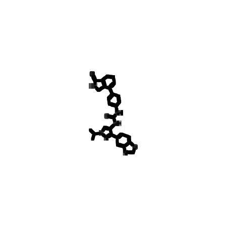 CC(C)n1cc(NC(=O)Nc2ccc(-c3cccc4c3CNC4=O)cc2)c(-c2ccc3ocnc3c2)n1